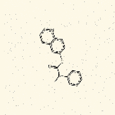 CN(C(=O)Oc1ccc2ncccc2c1)c1ccccc1